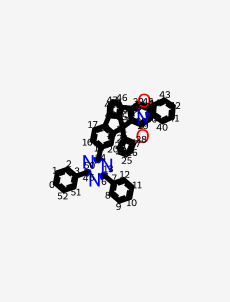 c1ccc(-c2nc(-c3ccccc3)nc(-c3ccc4c(c3)C3(c5ccccc5Oc5ccccc53)c3c(-c5nc6ccccc6o5)cccc3-4)n2)cc1